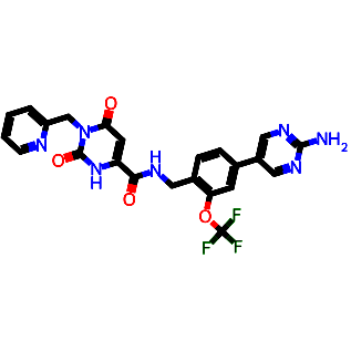 Nc1ncc(-c2ccc(CNC(=O)c3cc(=O)n(Cc4ccccn4)c(=O)[nH]3)c(OC(F)(F)F)c2)cn1